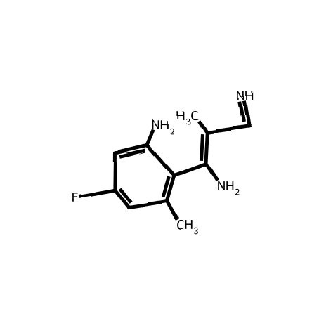 C/C(C=N)=C(/N)c1c(C)cc(F)cc1N